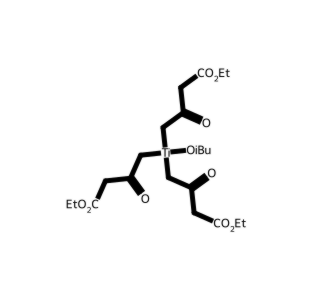 CCOC(=O)CC(=O)[CH2][Ti]([CH2]C(=O)CC(=O)OCC)([CH2]C(=O)CC(=O)OCC)[O]CC(C)C